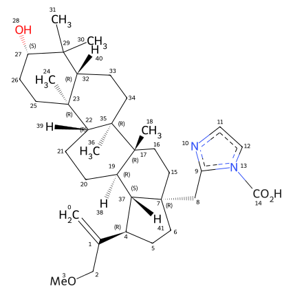 C=C(COC)[C@@H]1CC[C@]2(Cc3nccn3C(=O)O)CC[C@]3(C)[C@H](CC[C@@H]4[C@@]5(C)CC[C@H](O)C(C)(C)[C@@H]5CC[C@]43C)[C@@H]12